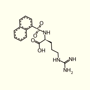 N=C(N)NCCC[C@H](NS(=O)(=O)c1cccc2ccccc12)C(=O)O